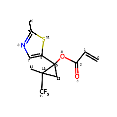 C=CC(=O)OC1(c2cnc(C)s2)CC1(C)C(F)(F)F